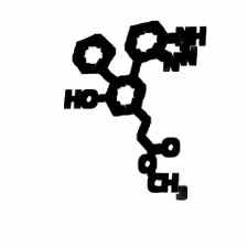 COC(=O)CCc1cc(O)c(-c2ccccc2)c(-c2cccc3[nH]nnc23)c1